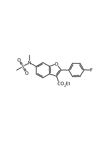 CCOC(=O)c1c(-c2ccc(F)cc2)oc2cc(N(C)S(C)(=O)=O)ccc12